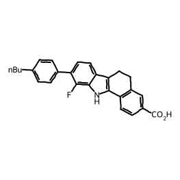 CCCCc1ccc(-c2ccc3c4c([nH]c3c2F)-c2ccc(C(=O)O)cc2CC4)cc1